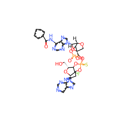 N#CCCOP(=S)(OC[C@@]12CO[C@@H]([C@H](n3cnc4c(NC(=O)c5ccccc5)ncnc43)O1)[C@@H]2O[PH](=O)O)O[C@H]1[C@@H](F)[C@H](n2cnc3cncnc32)O[C@@H]1CO